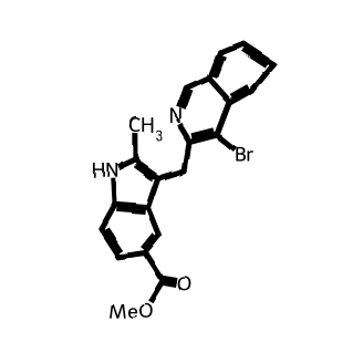 COC(=O)c1ccc2[nH]c(C)c(Cc3ncc4ccccc4c3Br)c2c1